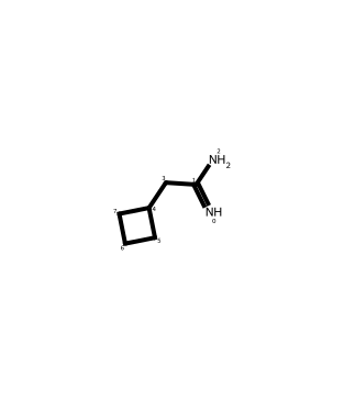 N=C(N)CC1CCC1